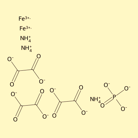 O=C([O-])C(=O)[O-].O=C([O-])C(=O)[O-].O=C([O-])C(=O)[O-].O=P([O-])([O-])[O-].[Fe+3].[Fe+3].[NH4+].[NH4+].[NH4+]